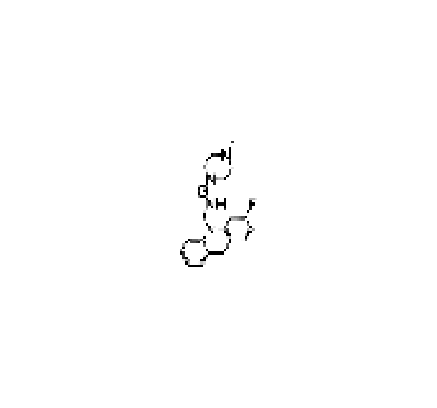 CN1CCN(ONCN2c3ccccc3Cc3ccc(F)cc32)CC1